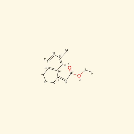 CCOC(=O)/C=C1/CCCc2ccc(C)cc21